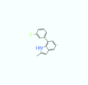 Cc1cc2c[c]cc(-c3cccc(F)c3)c2[nH]1